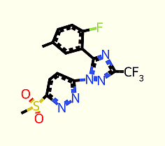 Cc1ccc(F)c(-c2nc(C(F)(F)F)nn2-c2ccc(S(C)(=O)=O)nn2)c1